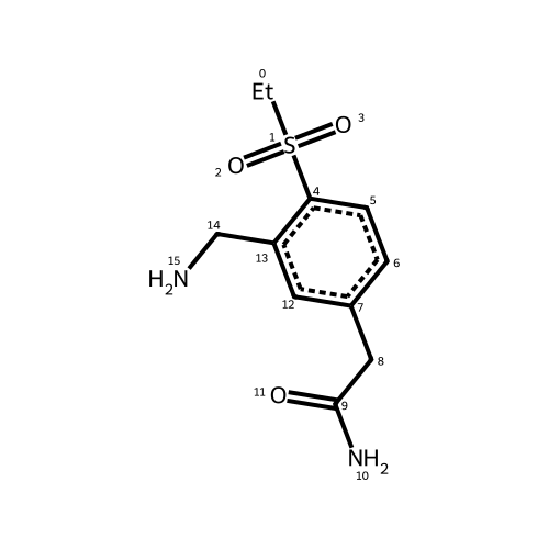 CCS(=O)(=O)c1ccc(CC(N)=O)cc1CN